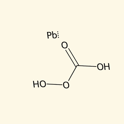 O=C(O)OO.[Pb]